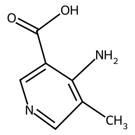 Cc1cncc(C(=O)O)c1N